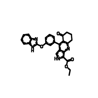 CCOC(=O)c1[nH]cc2c(-c3cccc(Oc4nc5ccccc5[nH]4)c3)c3c(nc12)CCCC3=O